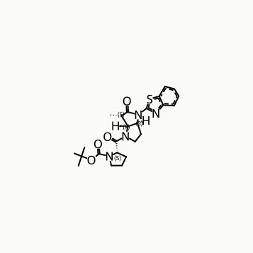 C[C@@H]1C(=O)N(c2nc3ccccc3s2)[C@H]2CCN(C(=O)[C@@H]3CCCN3C(=O)OC(C)(C)C)[C@H]12